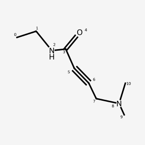 CCNC(=O)C#CCN(C)C